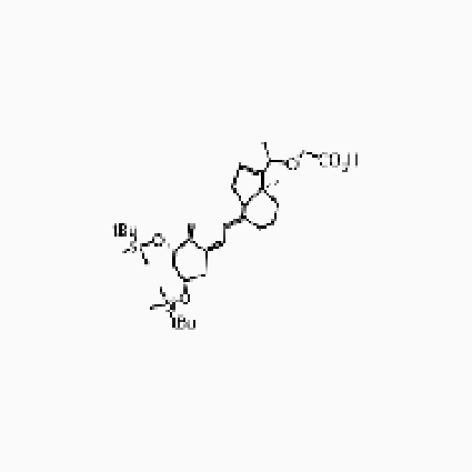 C=C1C(=CC=C2CCC[C@]3(C)C([C@@H](C)OCC(=O)O)=CCC23)C[C@@H](O[Si](C)(C)C(C)(C)C)C[C@@H]1O[Si](C)(C)C(C)(C)C